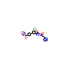 O=C(/C=C/c1cccnn1)NCc1cc2cc(-c3ccc(C(=O)N4CCOCC4)cc3)cc(Cl)c2o1